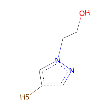 OCCn1cc(S)cn1